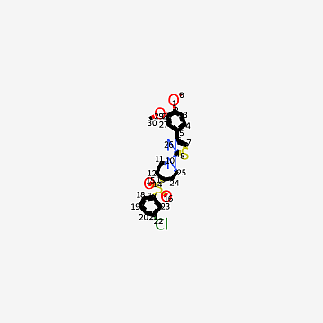 COc1ccc(-c2csc(N3CCC(S(=O)(=O)c4cccc(Cl)c4)CC3)n2)cc1OC